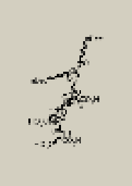 CCCCCCCCCCCCCCCC(=O)OC[C@H](CSCCC(=O)N[C@](N)(CCC(=O)O)C(=O)NCC(=O)NC(CCC(=O)O)C(=O)NCC(=O)N[C@H](CCC(=O)O)C(=O)O)OC(=O)CCCCCCCCCCCCCCC